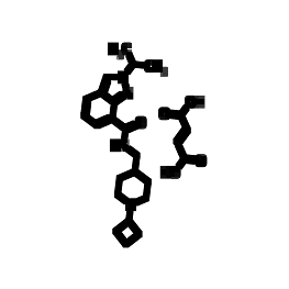 CC(C)n1cc2cccc(C(=O)NCC3CCN(C4CCC4)CC3)c2n1.O=C(O)/C=C/C(=O)O